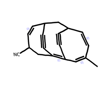 CC1=C/C2=C3/C#CC(/C=C\C(C#N)C3)CC(C#C2)/C=C\1